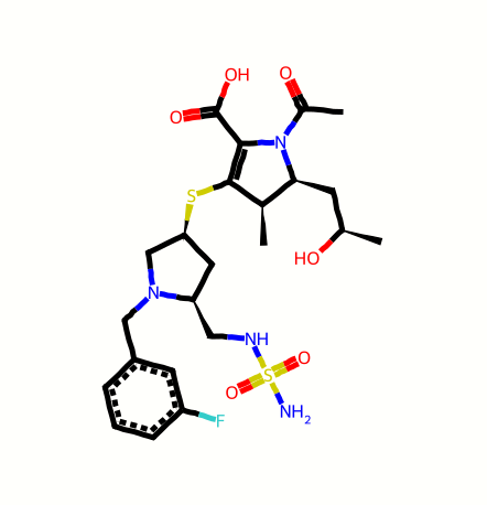 CC(=O)N1C(C(=O)O)=C(S[C@H]2C[C@@H](CNS(N)(=O)=O)N(Cc3cccc(F)c3)C2)[C@H](C)[C@@H]1C[C@@H](C)O